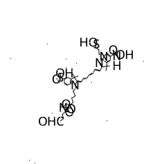 CN(OC(=O)CCCCCN1/C(=C/C=C/C=C/C=C/C2=NC3C(=CC(C(=O)NO)=CN3CCCSO)C2(C)C)C(C)(C)c2cc(S(=O)O)ccc21)C(=O)CCC=O